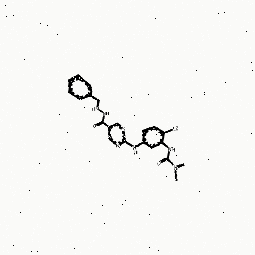 CN(C)C(=O)Nc1cc(Nc2ncc(C(=O)NNCc3ccccc3)cn2)ccc1Cl